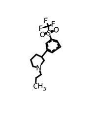 CCCN1CCCC(c2cccc(S(=O)(=O)C(F)(F)F)c2)C1